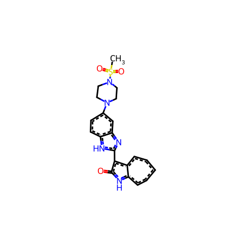 CS(=O)(=O)N1CCN(c2ccc3[nH]c(-c4c5cccccc-5[nH]c4=O)nc3c2)CC1